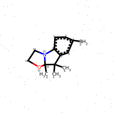 Bc1ccc2c(c1)C(C)(C)C1(C)OCCN21